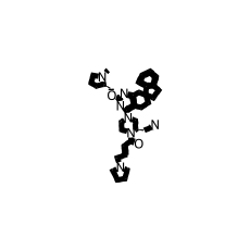 CN1CCC[C@H]1COc1nc2c(c(N3CCN(C(=O)/C=C/CN4CCCC4)[C@@H](CC#N)C3)n1)CCC1(CCc3ccccc31)C2